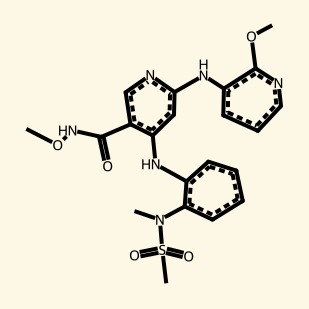 CONC(=O)c1cnc(Nc2cccnc2OC)cc1Nc1ccccc1N(C)S(C)(=O)=O